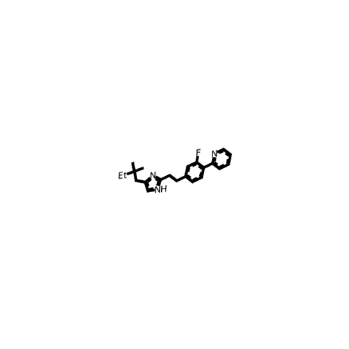 CCC(C)(C)Cc1c[nH]c(CCc2ccc(-c3ccccn3)c(F)c2)n1